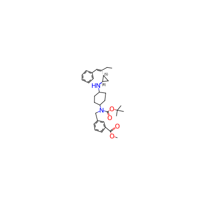 CCC(=Cc1ccccc1)[C@@H]1C[C@H]1NC1CCC(N(Cc2cccc(C(=O)OC)c2)C(=O)OC(C)(C)C)CC1